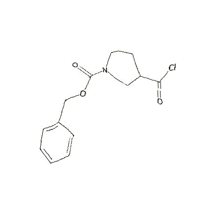 O=C(Cl)C1CCN(C(=O)OCc2ccccc2)C1